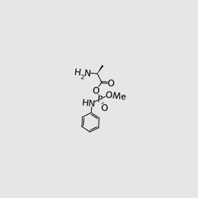 COP(=O)(Nc1ccccc1)OC(=O)[C@H](C)N